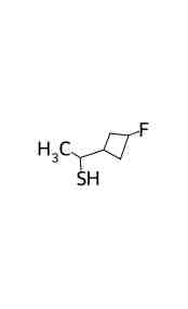 CC(S)C1CC(F)C1